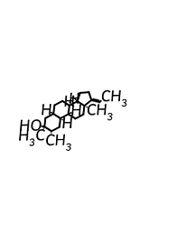 CC=C1CC[C@H]2[C@@H]3CC[C@H]4C[C@](C)(O)[C@@H](C)C[C@@H]4[C@H]3CC[C@]12C